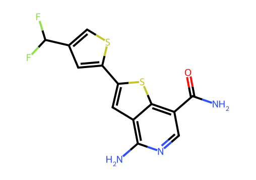 NC(=O)c1cnc(N)c2cc(-c3cc(C(F)F)cs3)sc12